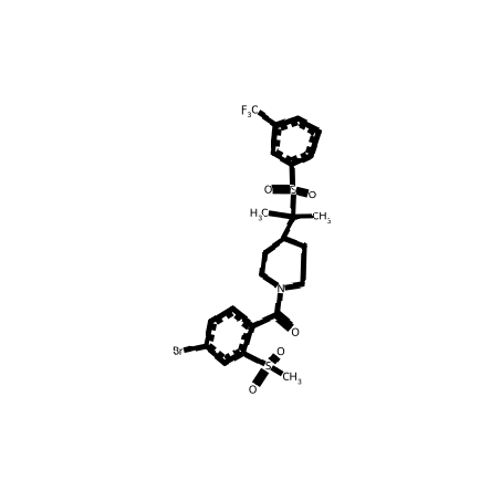 CC(C)(C1CCN(C(=O)c2ccc(Br)cc2S(C)(=O)=O)CC1)S(=O)(=O)c1cccc(C(F)(F)F)c1